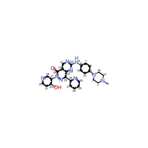 CN1CCN(c2ccc(Nc3ncc4c(=O)n(-c5cnccc5O)nc(-c5ccccn5)c4n3)cc2)CC1